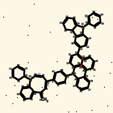 C=C1/C=C(c2ccc(N(c3ccc(-c4ccc5c(c4)C4CC=CC=C4N5c4ccccc4)cc3)c3ccccc3-c3ccccc3)cc2)\C=C/N(C2C=CC=CC2)c2ccccc21